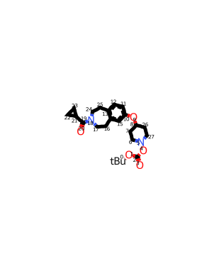 CC(C)(C)OC(=O)ON1CCC(Oc2ccc3c(c2)CCN(C(=O)C2CC2)CC3)CC1